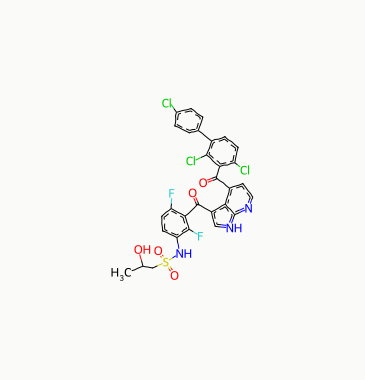 CC(O)CS(=O)(=O)Nc1ccc(F)c(C(=O)c2c[nH]c3nccc(C(=O)c4c(Cl)ccc(-c5ccc(Cl)cc5)c4Cl)c23)c1F